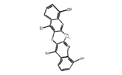 CCc1c(Oc2c(C)nc3c(O)cccc3c2CC)c(C)nc2c(O)cccc12